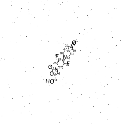 O=C1OC(CO)CN1c1cc(F)c(N2CCC3(CC2)C[S+]([O-])C3)c(F)c1